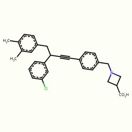 Cc1ccc(CC(C#Cc2ccc(CN3CC(C(=O)O)C3)cc2)c2cccc(Cl)c2)cc1C